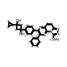 CSc1nnc2ccc3nc(-c4ccc(C5(N)CC(O)(C6CC6)C5)cc4)c(-c4ccccc4)nc3n12